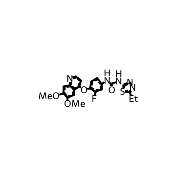 CCc1nnc(NC(=O)Nc2ccc(Oc3ccnc4cc(OC)c(OC)cc34)c(F)c2)s1